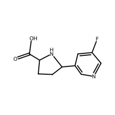 O=C(O)C1CCC(c2cncc(F)c2)N1